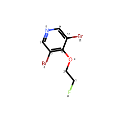 FCCOc1c(Br)cncc1Br